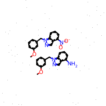 COc1cccc(Cn2ncc3c(N)cccc32)c1.COc1cccc(Cn2ncc3c([N+](=O)[O-])cccc32)c1